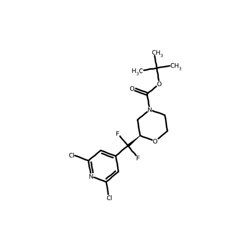 CC(C)(C)OC(=O)N1CCO[C@@H](C(F)(F)c2cc(Cl)nc(Cl)c2)C1